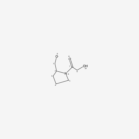 [O]CC1CCCN1C(=O)CO